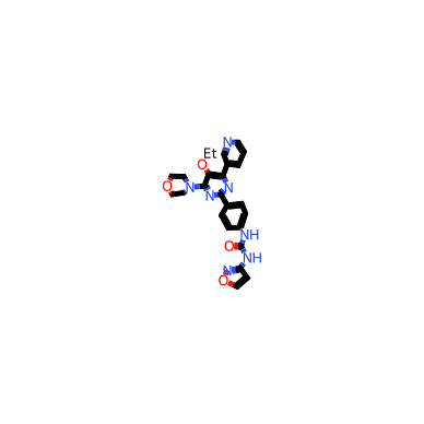 CCOc1c(-c2cccnc2)nc(-c2ccc(NC(=O)Nc3ccon3)cc2)nc1N1CCOCC1